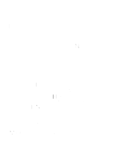 C=C1CCCCC2Nc3cc(C)cc(C)c3[C@]12CCNC(=O)OC